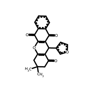 CC1(C)CC(=O)C2=C(C1)OC1=C(C(=O)c3ccccc3C1=O)C2c1ccoc1